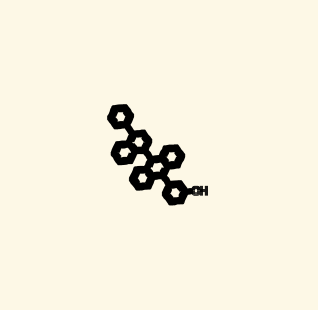 Oc1cccc(-c2c3ccccc3c(-c3ccc(-c4ccccc4)c4ccccc34)c3ccccc23)c1